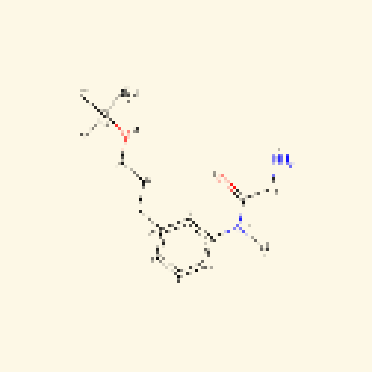 CCN(C(=O)CN)c1cccc(CCCO[Si](C)(C)C(C)(C)C)c1